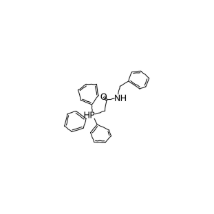 O=C(C[PH](c1ccccc1)(c1ccccc1)c1ccccc1)NCc1ccccc1